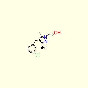 Cc1c(Cc2cccc(Cl)c2)c(C(C)C)nn1CCO